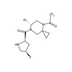 CC[C@@H]1CN(C(=O)C(F)(F)F)C2(CC2)CN1C(=O)[C@H]1C[C@@H](F)CN1